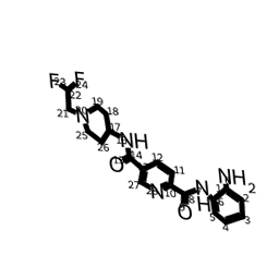 Nc1ccccc1NC(=O)c1ccc(C(=O)NC2CCN(CC(F)F)CC2)cn1